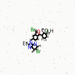 CCc1nc2c(C)c(Br)c(C)nc2n1Cc1ccc2c(-c3cccc(F)c3C(=O)O)oc(Br)c2c1